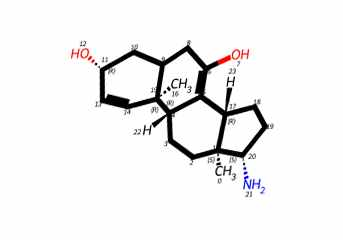 C[C@]12CC[C@H]3C(=C(O)CC4C[C@@H](O)C=C[C@@]43C)[C@@H]1CC[C@@H]2N